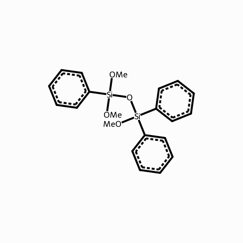 CO[Si](OC)(O[Si](OC)(c1ccccc1)c1ccccc1)c1ccccc1